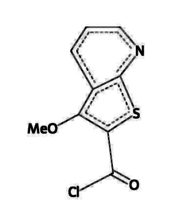 COc1c(C(=O)Cl)sc2ncccc12